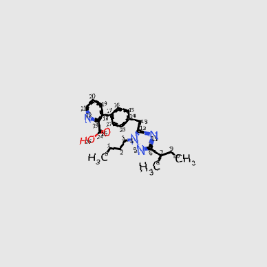 CCCCn1nc(C(C)CC)nc1Cc1ccc(-c2cccnc2C(=O)O)cc1